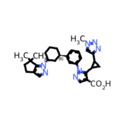 Cn1cc(C2CC2c2c(C(=O)O)cnn2-c2cccc([C@@H]3CCC[C@H](n4ncc5c4C(C)(C)CC5)C3)c2)nn1